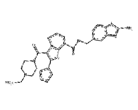 CCOC(=O)CN1CCN(C(=O)c2c(-c3ccsc3)nc3c(C(=O)NCc4ccc5nc(N)sc5c4)cccn23)CC1